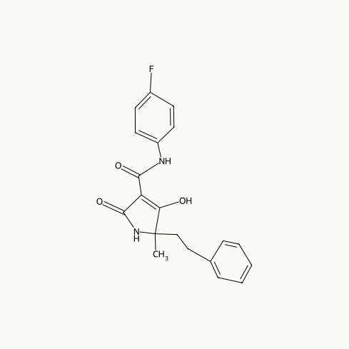 CC1(CCc2ccccc2)NC(=O)C(C(=O)Nc2ccc(F)cc2)=C1O